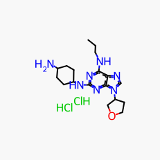 CCCNc1nc(NC2CCC(N)CC2)nc2c1ncn2C1CCOC1.Cl.Cl